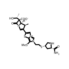 CSc1c2sc(C3=CN4C(=O)[C@@](C(=O)[O-])([C@@H](C)O)[C@H]4[C@H]3C)c[n+]2cn1CCS[C@@H]1CN[C@H](C(N)=O)C1